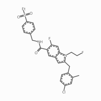 CCS(=O)(=O)c1ccc(CNC(=O)c2cc3cc(Cc4ccc(Cl)cc4C)n(CCF)c3cc2F)cc1